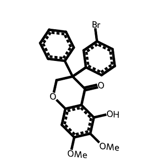 COc1cc2c(c(O)c1OC)C(=O)C(c1ccccc1)(c1cccc(Br)c1)CO2